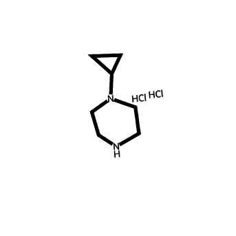 C1CN(C2CC2)CCN1.Cl.Cl